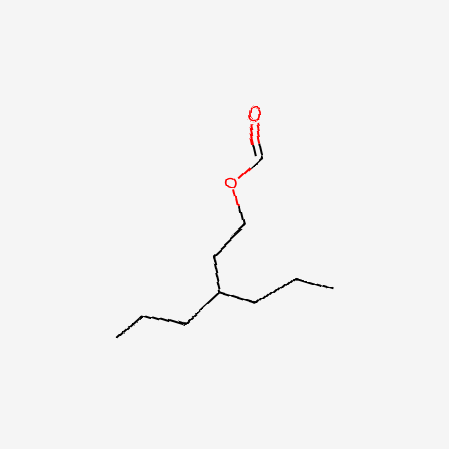 CCCC(CCC)CCOC=O